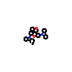 C#C/C=C\c1c(C)c2ccccc2n1-c1cccc2c1Oc1ccc(-n3c4ccccc4c4ccccc43)cc1C21c2ccccc2Oc2ccccc21